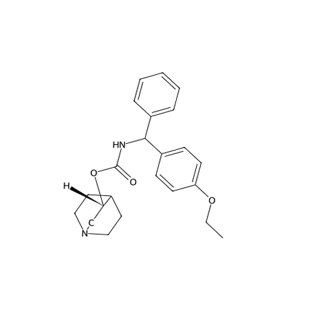 CCOc1ccc(C(NC(=O)O[C@H]2CN3CCC2CC3)c2ccccc2)cc1